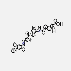 COc1cc(N2CCCC2)c(OC)cc1/N=N/c1cc(C(=O)N2CCc3c(/C=C(\N)C(=O)N4CCc5c4ccc4[nH]c(C(=O)O)cc54)cccc32)n(C)c1